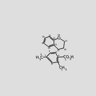 Cc1ccc(C(=O)O)c(C)c1.c1ccc2c(c1)CCCO2